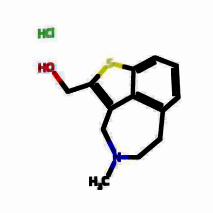 CN1CCc2cccc3sc(CO)c(c23)C1.Cl